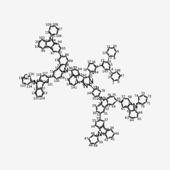 c1ccc(-c2cc(-c3ccccc3)cc(-c3cccc(-c4nc(-c5ccc(-n6c7ccc(-c8ccc9c(c8)c8ccccc8n9-c8ccccc8)cc7c7cc(-c8ccc9c(c8)c8ccccc8n9-c8ccccc8)ccc76)cc5)nc5c4-c4ccc(-n6c7ccc(-c8ccc9c(c8)c8ccccc8n9-c8ccccc8)cc7c7cc(-c8ccc9c(c8)c8ccccc8n9-c8ccccc8)ccc76)c6cccc-5c46)c3)c2)cc1